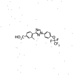 Cc1cc(C(=O)O)ccc1-c1ncn(-c2ccc(OC(F)(F)C(F)(F)F)cc2)n1